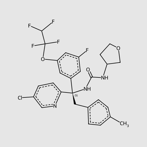 Cc1ccc(C[C@](NC(=O)NC2CCOC2)(c2cc(F)cc(OC(F)(F)C(F)F)c2)c2ccc(Cl)cn2)cc1